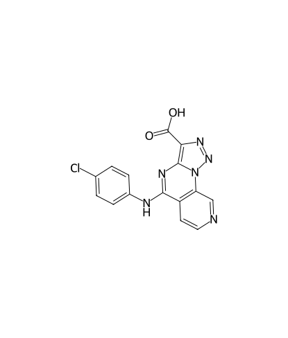 O=C(O)c1nnn2c1nc(Nc1ccc(Cl)cc1)c1ccncc12